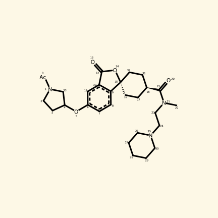 CC(=O)N1CCC(Oc2ccc3c(c2)C(=O)O[C@]32CC[C@H](C(=O)N(C)CCN3CCCCC3)CC2)C1